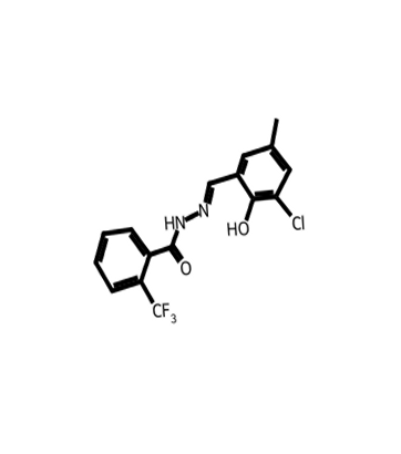 Cc1cc(Cl)c(O)c(/C=N/NC(=O)c2ccccc2C(F)(F)F)c1